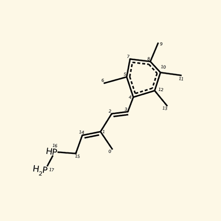 CC(/C=C/c1c(C)cc(C)c(C)c1C)=C\CPP